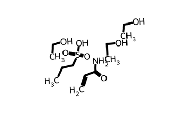 C=CC(N)=O.CCCS(=O)(=O)O.CCO.CCO.CCO